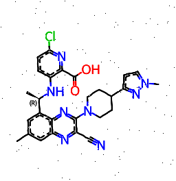 Cc1cc([C@@H](C)Nc2ccc(Cl)nc2C(=O)O)c2nc(N3CCC(c4ccn(C)n4)CC3)c(C#N)nc2c1